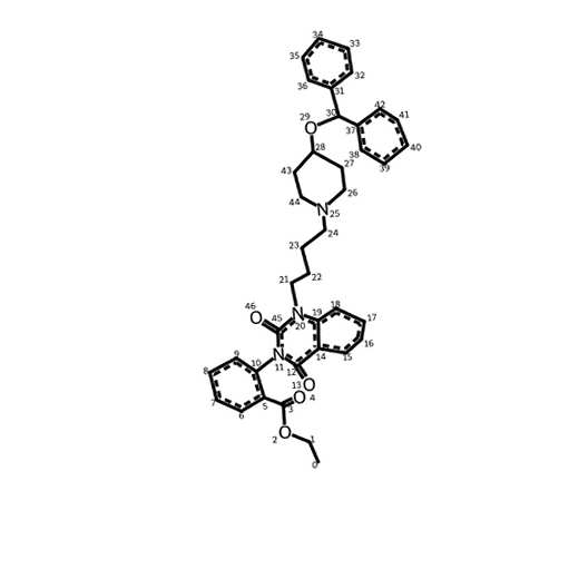 CCOC(=O)c1ccccc1-n1c(=O)c2ccccc2n(CCCCN2CCC(OC(c3ccccc3)c3ccccc3)CC2)c1=O